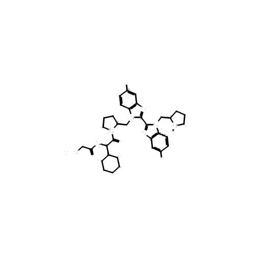 CNCC(=O)NC(C(=O)N1CCCC1Cn1c(-c2nc3cc(F)ccc3n2CC2CCCN2C=O)nc2cc(F)ccc21)C1CCCCC1